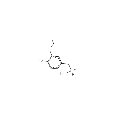 CCOc1cc(CP(=O)(O)O)ccc1N